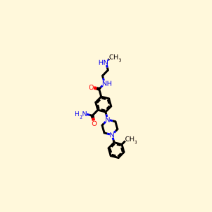 CNCCNC(=O)c1ccc(N2CCN(c3ccccc3C)CC2)c(C(N)=O)c1